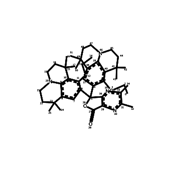 CCOc1c(C2(c3cc4c5c(c3OCC)C(C)(C)CCN5CCC4(C)C)OC(=O)c3nc(C)c(C)nc32)cc2c3c1C(C)(C)CCN3CCC2(C)C